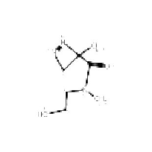 CN(CCO)C(=O)C1(C)CN=N1